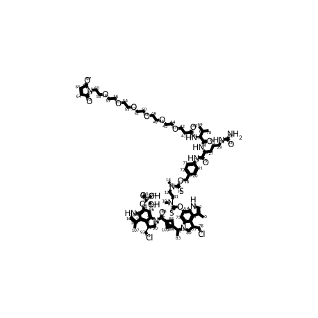 Cc1c[nH]c2c(OC(=S)N(C)CCN(C)C(=S)OCc3ccc(NC(=O)C(CCCNC(N)=O)NC(=O)[C@@H](NC(=O)CCOCCOCCOCCOCCOCCOCCN4C(=O)C=CC4=O)C(C)C)cc3)cc3c(c12)C(CCl)CN3C(C)C12CC(C(=O)N3C[C@@H](CCl)c4c3cc(OP(=O)(O)O)c3[nH]cc(C)c43)(C1)C2